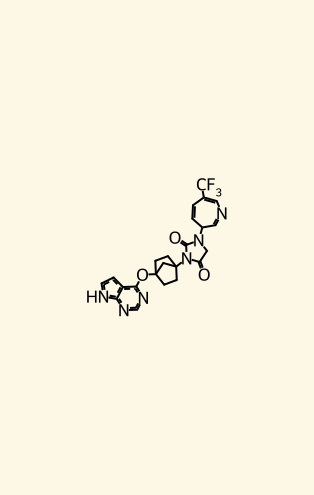 O=C1CN(C2C=CC(C(F)(F)F)=CN=C2)C(=O)N1C12CCC(Oc3ncnc4[nH]ccc34)(CC1)C2